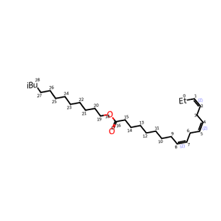 CC/C=C\C/C=C\C/C=C\CCCCCCCC(=O)OCCCCCCCCCC(C)CC